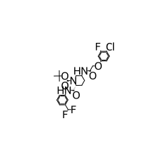 CC(C)(C)OC(=O)N1C[C@@H](NC(=O)COc2ccc(Cl)c(F)c2)CC[C@@H]1C(=O)Nc1cccc(C(F)F)c1